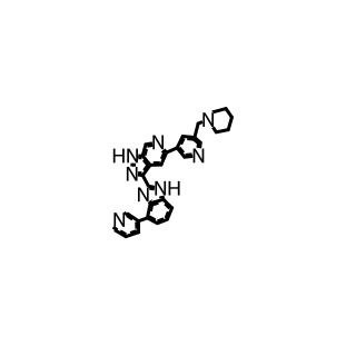 c1cncc(-c2cccc3[nH]c(-c4n[nH]c5cnc(-c6cncc(CN7CCCCC7)c6)cc45)nc23)c1